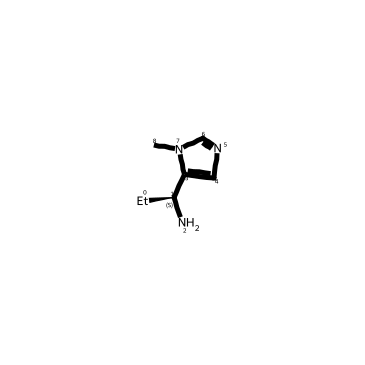 CC[C@H](N)c1cncn1C